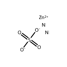 O=S(=O)([O-])[O-].[N].[N].[Zn+2]